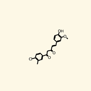 COc1cc(/C=C/C(=O)CC(=O)c2ccc(Cl)c(C)c2)ccc1O